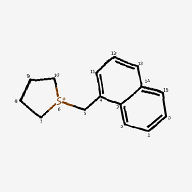 c1ccc2c(C[S+]3CCCC3)cccc2c1